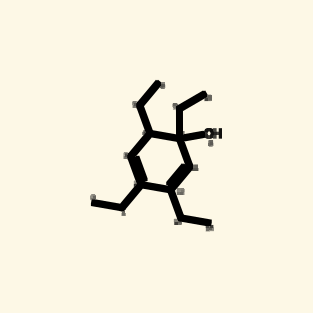 CCC1=CC(CC)C(O)(CC)C=C1CC